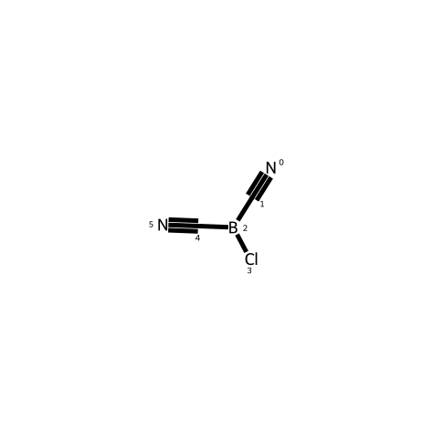 N#CB(Cl)C#N